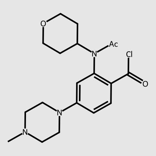 CC(=O)N(c1cc(N2CCN(C)CC2)ccc1C(=O)Cl)C1CCOCC1